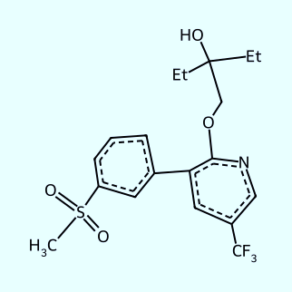 CCC(O)(CC)COc1ncc(C(F)(F)F)cc1-c1cccc(S(C)(=O)=O)c1